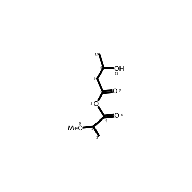 COC(C)C(=O)OC(=O)CC(C)O